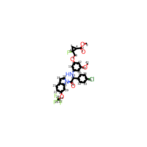 COC(=O)C1CC1(F)COc1cc(NC(C(=O)n2ccc3ccc(OC(F)(F)F)cc32)c2ccc(Cl)cc2)cc(OC)c1